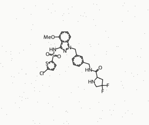 COc1cccc2c1c(NS(=O)(=O)c1ccc(Cl)s1)nn2Cc1cccc(CNC(=O)C2CC(F)(F)CN2)c1